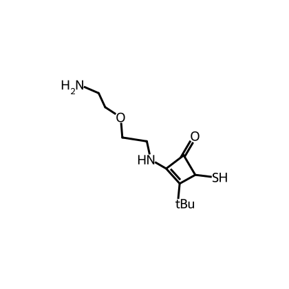 CC(C)(C)C1=C(NCCOCCN)C(=O)C1S